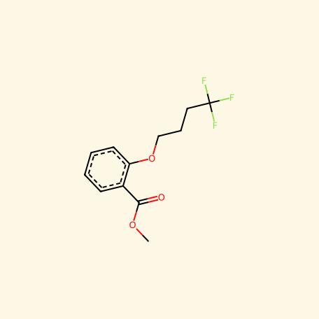 COC(=O)c1ccccc1OCCCC(F)(F)F